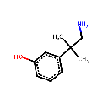 CC(C)(CN)c1cccc(O)c1